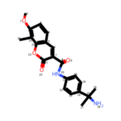 COc1ccc2cc(C(=O)Nc3ccc(C(C)(C)N)cc3)c(=O)oc2c1C